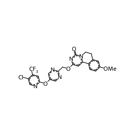 COc1ccc2c(c1)CCn1c-2cc(OCc2ncc(Oc3cc(C(F)(F)F)c(Cl)cn3)cn2)nc1=O